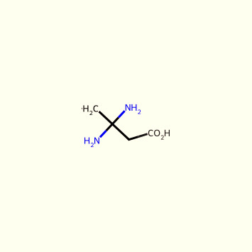 [CH2]C(N)(N)CC(=O)O